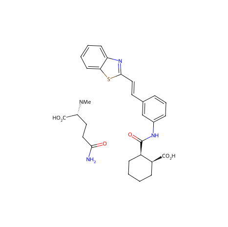 CN[C@H](CCC(N)=O)C(=O)O.O=C(O)[C@H]1CCCC[C@H]1C(=O)Nc1cccc(C=Cc2nc3ccccc3s2)c1